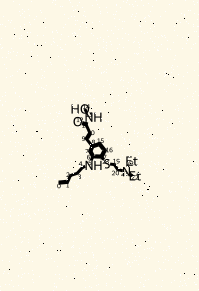 C=CCCCNc1cc(/C=C/C(=O)NO)ccc1SCCN(CC)CC